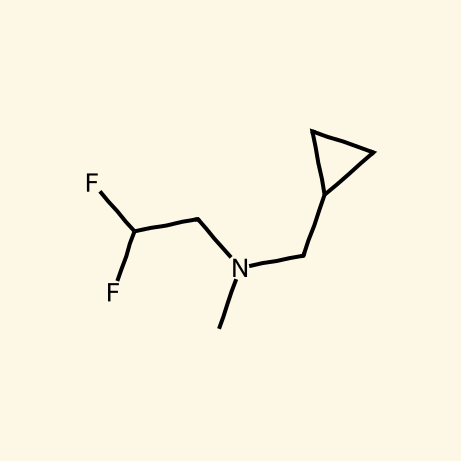 CN(CC(F)F)CC1CC1